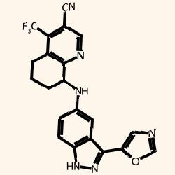 N#Cc1cnc2c(c1C(F)(F)F)CCCC2Nc1ccc2[nH]nc(-c3cnco3)c2c1